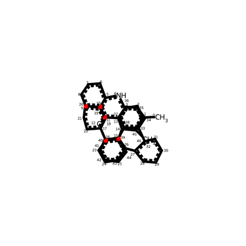 Cc1cc2[nH]c3ccccc3c(=O)c2c(-c2c(-c3ccccc3)cccc2-c2ccccc2-c2ccccc2-c2ccccc2)c1C